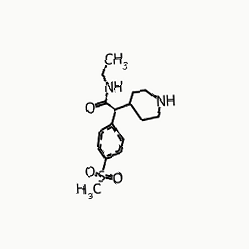 CCNC(=O)C(c1ccc(S(C)(=O)=O)cc1)C1CCNCC1